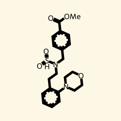 COC(=O)c1ccc(CN(CCc2ccccc2N2CCOCC2)[SH](=O)=O)cc1